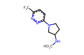 O=C(O)NC1CCN(c2ccc(C(F)(F)F)nn2)C1